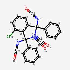 O=C=NC(N=C=O)(c1ccccc1)c1cccc(Cl)c1C(N=C=O)(N=C=O)c1ccccc1